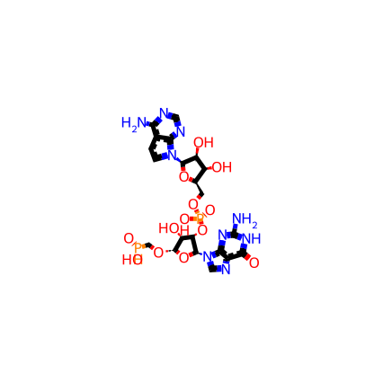 Nc1nc2c(ncn2[C@@H]2O[C@H](OC[PH](=O)O)[C@H](O)[C@@H]2OP(=O)(O)OC[C@H]2O[C@@H](n3ccc4c(N)ncnc43)[C@@H](O)[C@H]2O)c(=O)[nH]1